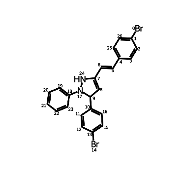 Brc1ccc(C=CC2=CC(c3ccc(Br)cc3)N(c3ccccc3)N2)cc1